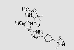 Cc1ncsc1-c1ccc(-c2cnc([C@@H]3C[C@@H](O)CN3C(=O)C(NC(=O)O)C(C)(C)C)[nH]2)cc1